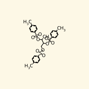 Cc1ccc(S(=O)(=O)OCC(OS(=O)(=O)c2ccc(C)cc2)C(C)OS(=O)(=O)c2ccc(C)cc2)cc1